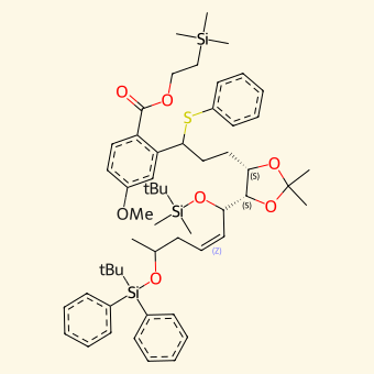 COc1ccc(C(=O)OCC[Si](C)(C)C)c(C(CC[C@@H]2OC(C)(C)O[C@@H]2C(/C=C\CC(C)O[Si](c2ccccc2)(c2ccccc2)C(C)(C)C)O[Si](C)(C)C(C)(C)C)Sc2ccccc2)c1